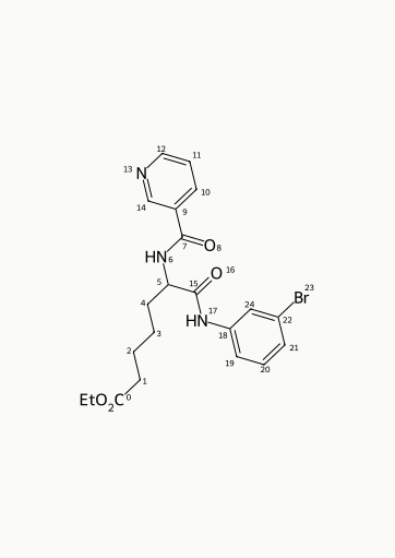 CCOC(=O)CCCCC(NC(=O)c1cccnc1)C(=O)Nc1cccc(Br)c1